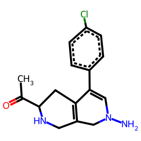 CC(=O)C1CC2=C(CN1)CN(N)C=C2c1ccc(Cl)cc1